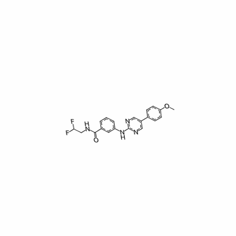 COc1ccc(-c2cnc(Nc3cccc(C(=O)NCC(F)F)c3)nc2)cc1